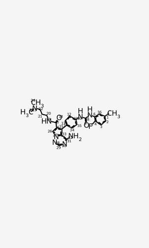 Cc1ccc(F)c(NC(=O)Nc2ccc(-c3c(C(=O)NCCCN(C)C)cn4ncnc(N)c34)cc2)c1